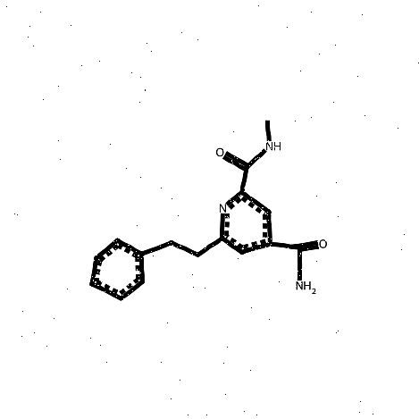 CNC(=O)c1cc(C(N)=O)cc(CCc2ccccc2)n1